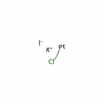 [Cl][Pt].[I-].[K+]